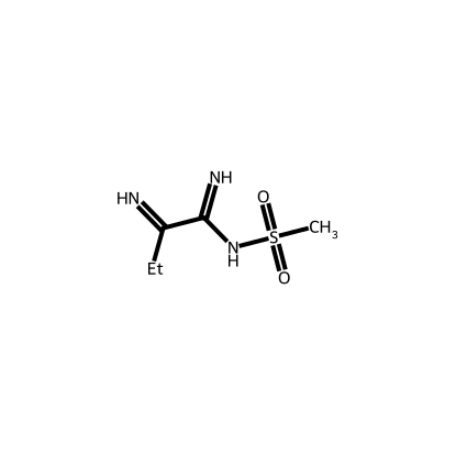 CCC(=N)C(=N)NS(C)(=O)=O